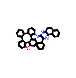 c1ccc(-c2nc3c(ccc4ccccc43)nc2-n2c3cccc4c5ccccc5c5cccc6oc7ccc2c(c7c65)c43)cc1